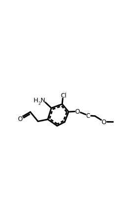 COCCOc1ccc(CC=O)c(N)c1Cl